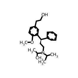 COc1ccc(CCO)cc1[C@H](CCN(C(C)C)C(C)C)c1ccccc1